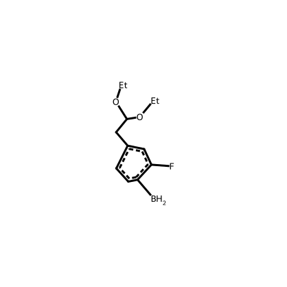 Bc1ccc(CC(OCC)OCC)cc1F